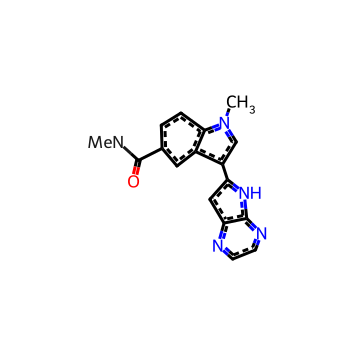 CNC(=O)c1ccc2c(c1)c(-c1cc3nccnc3[nH]1)cn2C